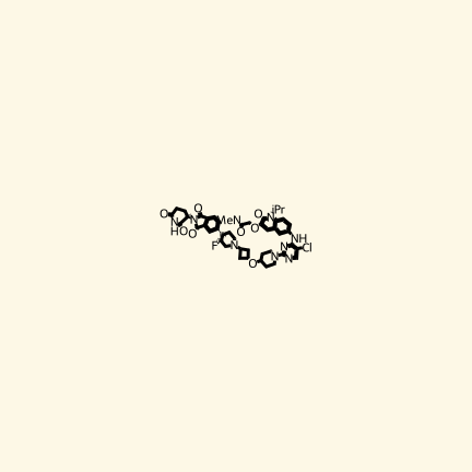 CNC(=O)COc1cc2cc(Nc3nc(N4CCC(OC5CC(N6CC[C@@H](c7ccc8c(c7)C(=O)N([C@@H]7CCC(=O)NC7=O)C8=O)[C@@H](F)C6)C5)CC4)ncc3Cl)ccc2n(C(C)C)c1=O